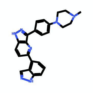 CN1CCN(c2ccc(-c3n[nH]c4ccc(-c5cccc6[nH]ncc56)nc34)cc2)CC1